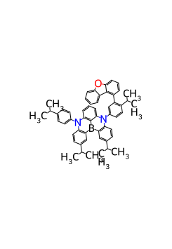 CC(C)c1ccc(N2c3ccc(C(C)C)cc3B3c4cc(C(C)C)ccc4N(c4ccc(C(C)C)c(-c5cccc6oc7ccccc7c56)c4)c4cccc2c43)cc1